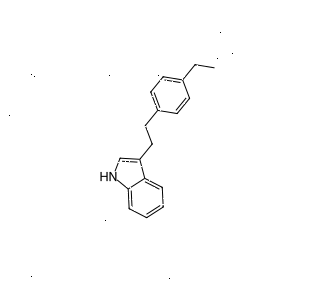 CCc1ccc(CCc2c[nH]c3ccccc23)cc1